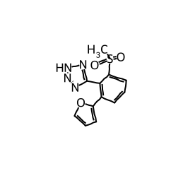 CS(=O)(=O)c1cccc(-c2ccco2)c1-c1nn[nH]n1